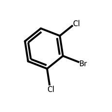 ClC1=C=C=CC(Cl)=C1Br